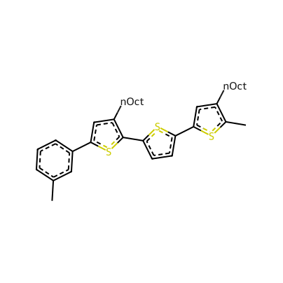 CCCCCCCCc1cc(-c2ccc(-c3sc(-c4cccc(C)c4)cc3CCCCCCCC)s2)sc1C